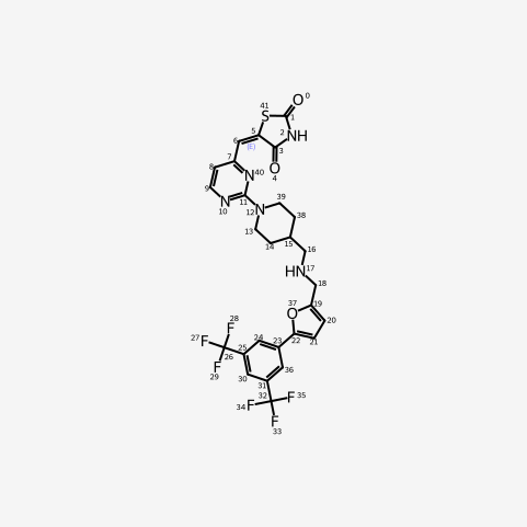 O=C1NC(=O)/C(=C\c2ccnc(N3CCC(CNCc4ccc(-c5cc(C(F)(F)F)cc(C(F)(F)F)c5)o4)CC3)n2)S1